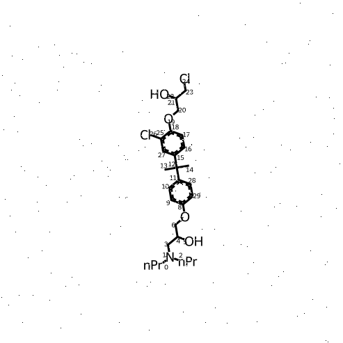 CCCN(CCC)CC(O)COc1ccc(C(C)(C)c2ccc(OCC(O)CCl)c(Cl)c2)cc1